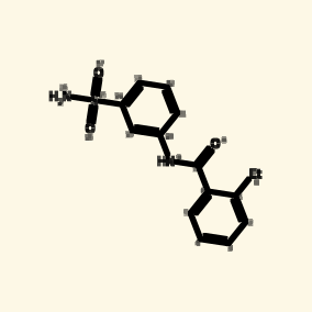 CCc1ccccc1C(=O)Nc1cccc(S(N)(=O)=O)c1